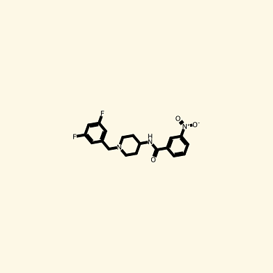 O=C(NC1CCN(Cc2cc(F)cc(F)c2)CC1)c1cccc([N+](=O)[O-])c1